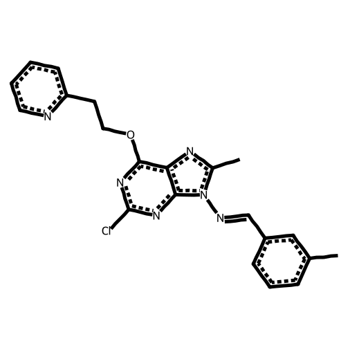 Cc1cccc(/C=N/n2c(C)nc3c(OCCc4ccccn4)nc(Cl)nc32)c1